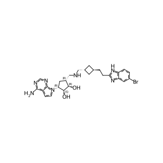 Nc1ncnc2c1ccn2[C@@H]1C[C@H](CNC[C@H]2C[C@H](CCc3nc4cc(Br)ccc4[nH]3)C2)[C@@H](O)[C@H]1O